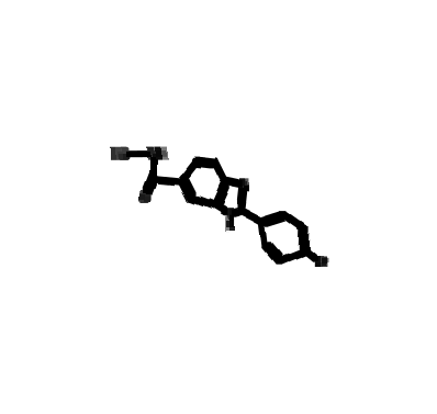 CCc1ccc(-c2nc3ccc(C(=O)NO)cc3[nH]2)cc1